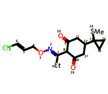 CC/C(=N\OC/C=C/Cl)C1C(=O)CC(C2(SC)CC2)CC1=O